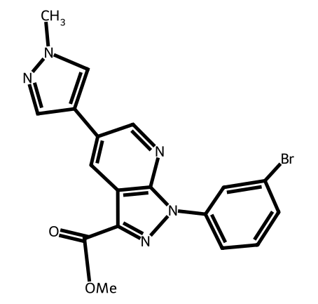 COC(=O)c1nn(-c2cccc(Br)c2)c2ncc(-c3cnn(C)c3)cc12